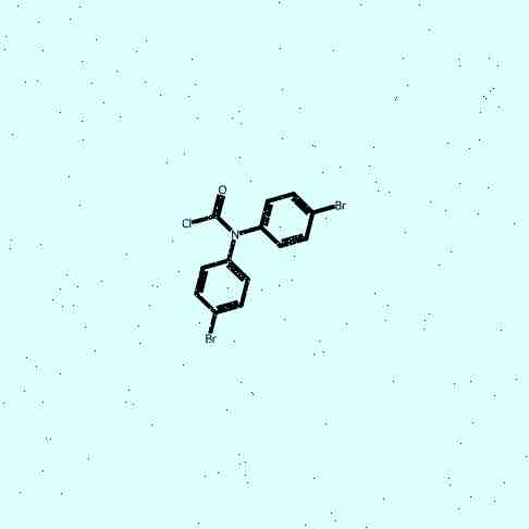 O=C(Cl)N(c1ccc(Br)cc1)c1ccc(Br)cc1